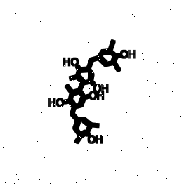 Cc1cc(Cc2cc(O)c(-c3c(O)cc(Cc4cc(C)c(O)c(C)c4)c(O)c3C)c(C)c2O)cc(C)c1O